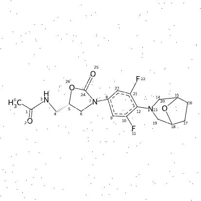 CC(=O)NC[C@H]1CN(c2cc(F)c(N3CC4CCC(C3)O4)c(F)c2)C(=O)O1